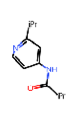 CC(C)C(=O)Nc1ccnc(C(C)C)c1